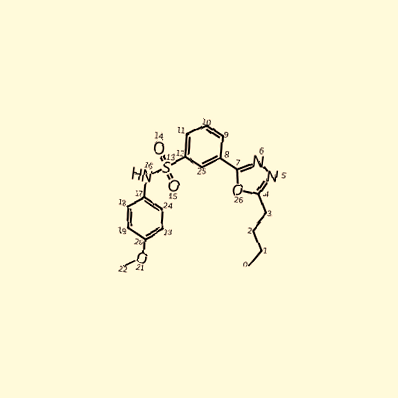 CCCCc1nnc(-c2cccc(S(=O)(=O)Nc3ccc(OC)cc3)c2)o1